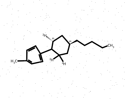 [2H][C@@H]1C[C@@H](CCCCC)CC([2H])([2H])C1c1ccc(C)cc1